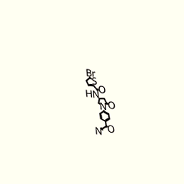 N#CC(=O)c1ccc(N2C[C@H](NC(=O)C3=CCC(Br)S3)CC2=O)cc1